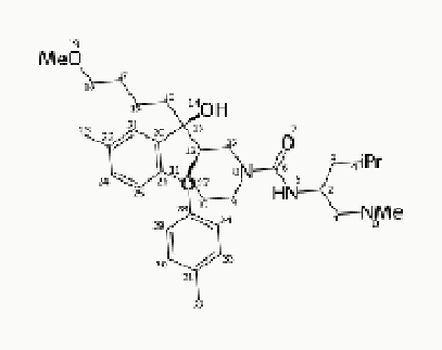 CNCC(CC(C)C)NC(=O)N1CCC[C@@H]([C@@](O)(CCCCOC)c2cc(C)ccc2Oc2ccc(C)cc2)C1